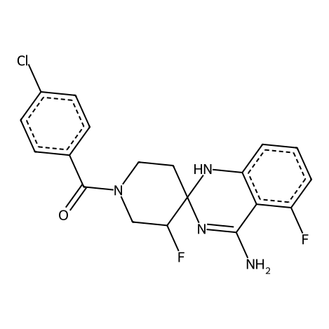 NC1=NC2(CCN(C(=O)c3ccc(Cl)cc3)CC2F)Nc2cccc(F)c21